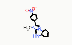 CN1C(c2ccc([N+](=O)[O-])cc2)=CN2C1=CNc1ccccc12